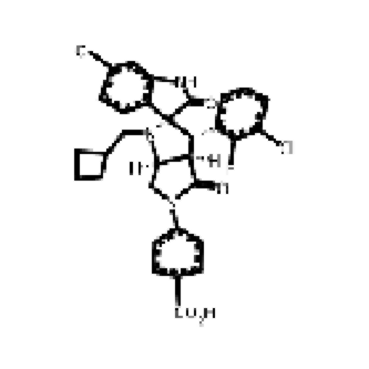 O=C(O)c1ccc(N2C[C@@H]3[C@H](C2=O)[C@@H](c2cccc(Cl)c2F)[C@@]2(C(=O)Nc4cc(Cl)ccc42)N3CC2CCC2)cc1